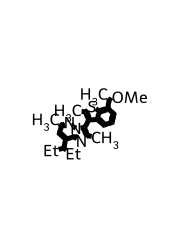 CCC(CC)c1cc(C)nn2c(-c3c(C)sc4c([C@@H](C)OC)cccc34)c(C)nc12